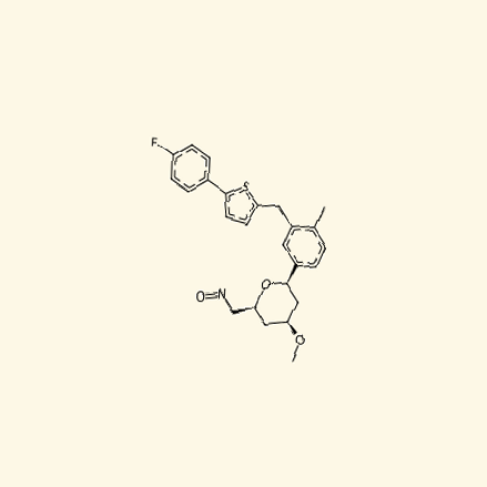 CO[C@H]1C[C@@H](CN=O)O[C@@H](c2ccc(C)c(Cc3ccc(-c4ccc(F)cc4)s3)c2)C1